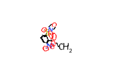 C=CCOC(=O)c1c([N+](=O)[O-])cccc1S(=O)(=O)N1CCOCC1